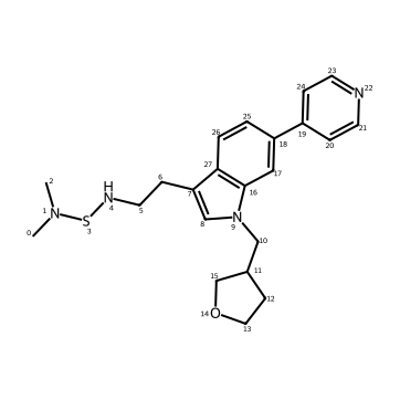 CN(C)SNCCc1cn(CC2CCOC2)c2cc(-c3ccncc3)ccc12